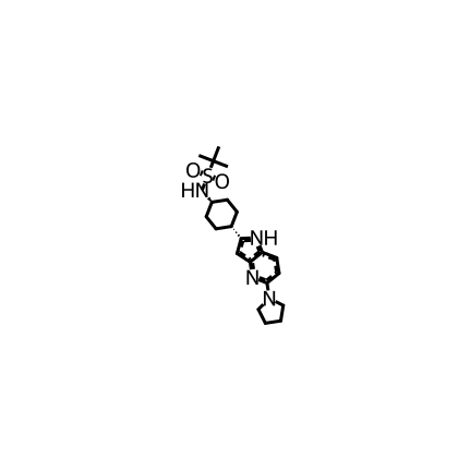 CC(C)(C)S(=O)(=O)N[C@H]1CC[C@H](c2cc3nc(N4CCCC4)ccc3[nH]2)CC1